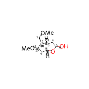 COC[C@H]1[C@@H]2CC(O)O[C@@H]2C[C@@H]1OC